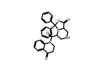 O=C1CCN(C(=O)C2CNCC3C(=O)OC(c4ccccc4)(c4ccccc4)N32)c2ccccc21